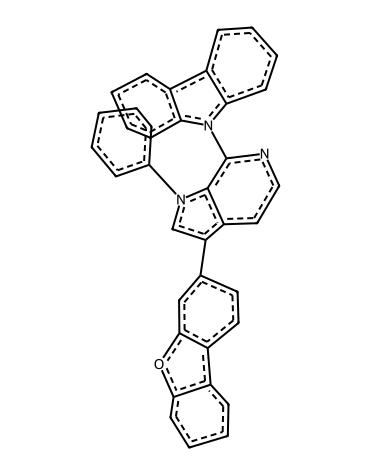 c1ccc(-n2cc(-c3ccc4c(c3)oc3ccccc34)c3ccnc(-n4c5ccccc5c5ccccc54)c32)cc1